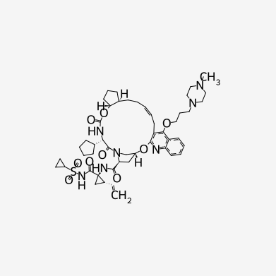 C=C[C@@H]1C[C@]1(NC(=O)[C@@H]1C[C@@H]2CN1C(=O)[C@H](C1CCCC1)NC(=O)O[C@@H]1CCC[C@H]1CCC=CCc1c(nc3ccccc3c1OCCCN1CCN(C)CC1)O2)C(=O)NS(=O)(=O)C1CC1